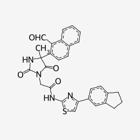 CC1(c2ccc3ccccc3c2C=O)NC(=O)N(CC(=O)Nc2nc(-c3ccc4c(c3)CCC4)cs2)C1=O